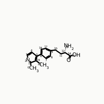 Cc1nccc(-c2ccc(CC[C@H](N)C(=O)O)cc2)c1C